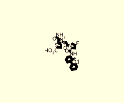 NC(=O)c1nn(CC(=O)N2C[C@H](F)C[C@H]2C(=O)Nc2cccc(-c3ccccc3Cl)c2F)c2cc(C(=O)O)sc12